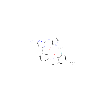 Cn1ccc(Nc2nc(N)cc(-c3cccc(-n4ccc5cc(C6CC6)cc(F)c5c4=O)c3CO)n2)c1